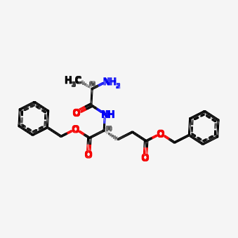 C[C@H](N)C(=O)N[C@H](CCC(=O)OCc1ccccc1)C(=O)OCc1ccccc1